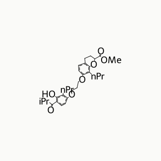 CCCc1c(OCCCOc2ccc3c(c2CCC)OC(C(=O)OC)CC3)ccc(C(=O)C(C)C)c1O